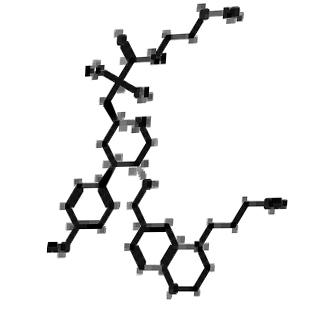 COCCCN1CCOc2ccc(CO[C@H]3CN[C@H](CC(C)(C)C(=O)NCCO[N+](=O)[O-])C[C@@H]3c3ccc(OC)cc3)cc21